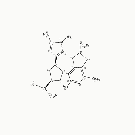 CC(C)N(C(=O)O)[C@@H]1CC[C@H](c2cc(N)n(C(C)(C)C)n2)C1.CCOC(=O)C1Cc2cc(O)cc(OC)c2C1